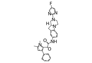 Cc1cc(-c2ccccc2)c(C(=O)C(=O)Nc2ccc3c(c2)C[C@H]2CN(c4ncc(F)cn4)CCN32)n1C